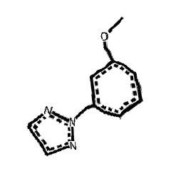 COc1cc[c]c(-n2nccn2)c1